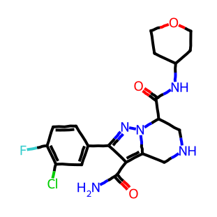 NC(=O)c1c(-c2ccc(F)c(Cl)c2)nn2c1CNCC2C(=O)NC1CCOCC1